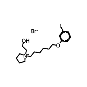 OCC[N+]1(CCCCCCOc2cccc(I)c2)CCCC1.[Br-]